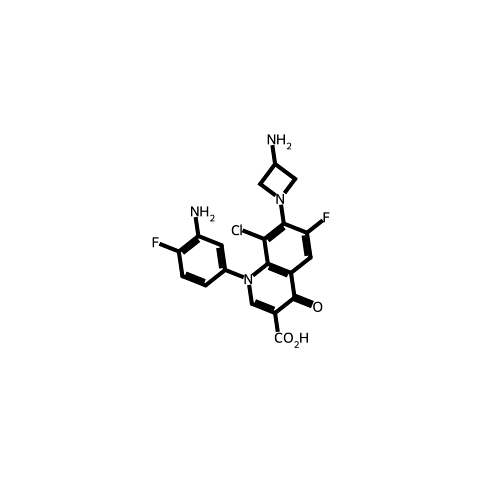 Nc1cc(-n2cc(C(=O)O)c(=O)c3cc(F)c(N4CC(N)C4)c(Cl)c32)ccc1F